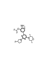 C[C@H]1CN(c2cc(-c3cnc(N)c(OC(F)F)c3)nc(N3CC[C@@H](F)C3)n2)[C@@H](C)CO1